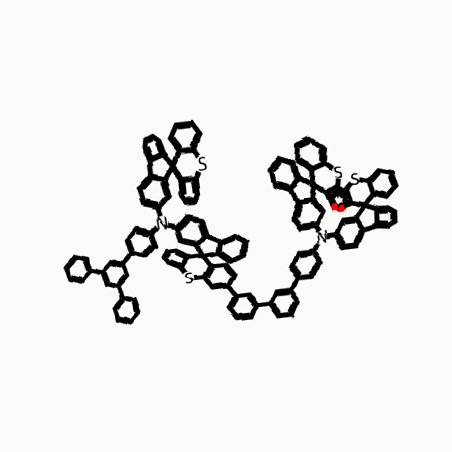 c1ccc(-c2cc(-c3ccccc3)cc(-c3ccc(N(c4ccc5c(c4)C4(c6ccccc6Sc6ccccc64)c4ccccc4-5)c4ccc5c(c4)C4(c6ccccc6Sc6cc(-c7cccc(-c8cccc(-c9ccc(N(c%10ccc%11c(c%10)C%10(c%12ccccc%12Sc%12ccccc%12%10)c%10ccccc%10-%11)c%10ccc%11c(c%10)C%10(c%12ccccc%12Sc%12ccccc%12%10)c%10ccccc%10-%11)cc9)c8)c7)ccc64)c4ccccc4-5)cc3)c2)cc1